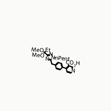 CCCCCn1nc(C(CC)(OC)OC)nc1Cc1ccc(-c2ccncc2C(=O)O)cc1